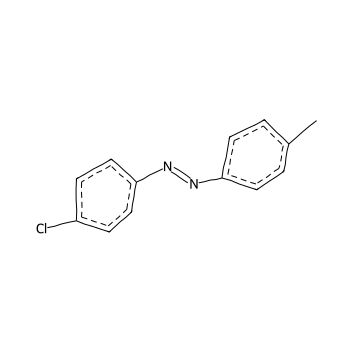 Cc1ccc(N=Nc2ccc(Cl)cc2)cc1